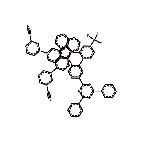 N#Cc1cccc(-c2ccc3c(c2)c2ccccc2n3-c2ccc(-c3nc(-c4ccccc4)nc(-c4ccccc4)n3)cc2-c2ccc(C(F)(F)F)cc2-n2c3ccccc3c3cc(-c4cccc(C#N)c4)ccc32)c1